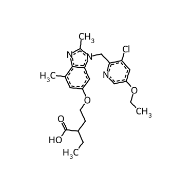 CCOc1cnc(Cn2c(C)nc3c(C)cc(OCCC(CC)C(=O)O)cc32)c(Cl)c1